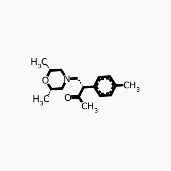 CC(=O)[C@H](CN1C[C@@H](C)O[C@@H](C)C1)c1ccc(C)cc1